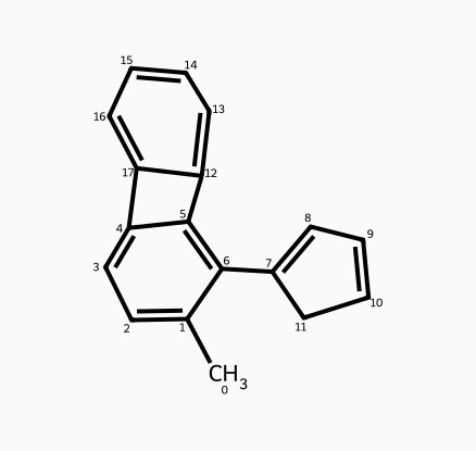 Cc1ccc2c(c1C1=CC=CC1)-c1ccccc1-2